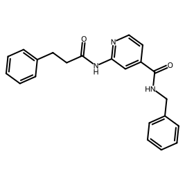 O=C(CCc1ccccc1)Nc1cc(C(=O)NCc2ccccc2)ccn1